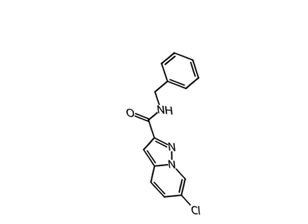 O=C(NCc1ccccc1)c1cc2ccc(Cl)cn2n1